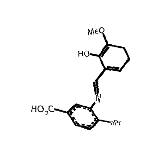 CCCc1ccc(C(=O)O)cc1/N=C/C1=CCCC(OC)=C1O